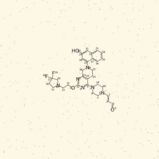 O=CC=CN1CCN(c2nc(OCCN3CCC(F)(F)C3)nc3c2CCN(c2cc(O)cc4ccccc24)C3)CC1